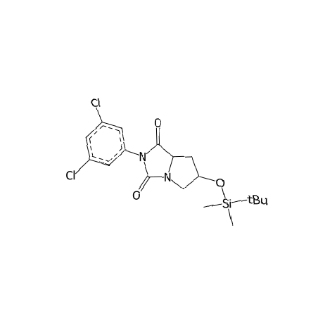 CC(C)(C)[Si](C)(C)OC1CC2C(=O)N(c3cc(Cl)cc(Cl)c3)C(=O)N2C1